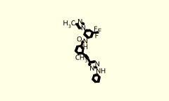 Cc1cn(-c2cc(NC(=O)c3ccc(C)c(C#Cc4cnc(Nc5ccccc5)nc4)c3)cc(C(F)(F)F)c2)cn1